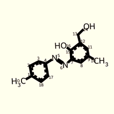 Cc1ccc(N=Nc2cc(C)cc(CO)c2O)cc1